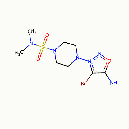 CN(C)S(=O)(=O)N1CCN([n+]2noc([NH-])c2Br)CC1